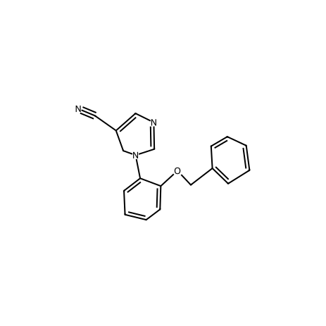 N#CC1=CN=CN(c2ccccc2OCc2ccccc2)C1